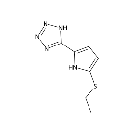 CCSc1ccc(-c2nnn[nH]2)[nH]1